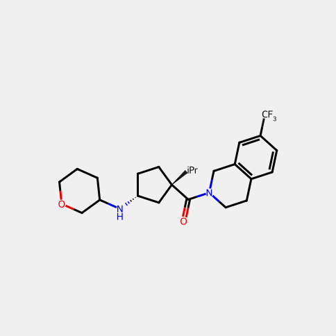 CC(C)[C@]1(C(=O)N2CCc3ccc(C(F)(F)F)cc3C2)CC[C@@H](NC2CCCOC2)C1